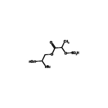 CCCCCCCCC(CCCC)COC(=O)C(C)OS(=O)(=O)O